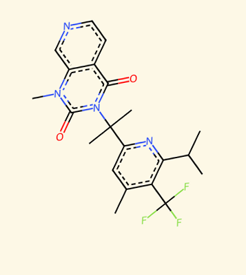 Cc1cc(C(C)(C)n2c(=O)c3ccncc3n(C)c2=O)nc(C(C)C)c1C(F)(F)F